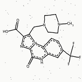 CN1CCN(Cc2c(C(=O)O)nc3c(=O)[nH]c4cc(C(F)(F)F)ccc4n23)CC1